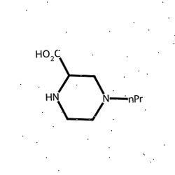 CCCN1CCNC(C(=O)O)C1